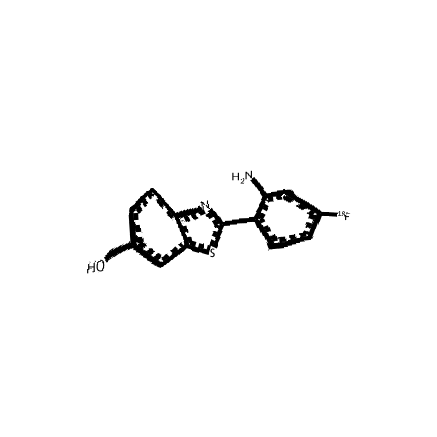 Nc1cc([18F])ccc1-c1nc2ccc(O)cc2s1